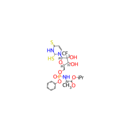 CC(C)OC(=O)[C@H](C)NP(=O)(OC[C@H]1O[C@@H](N2C=CC(=S)NC2S)C(O)(C(F)(F)F)[C@H]1O)Oc1ccccc1